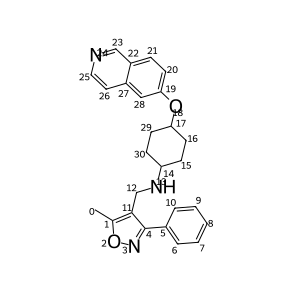 Cc1onc(-c2ccccc2)c1CNC1CCC(Oc2ccc3cnccc3c2)CC1